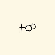 CC(C)(C)c1ccc2c(c1)[CH]CC2